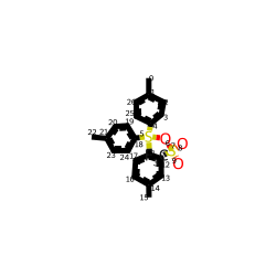 Cc1ccc(S(OS(=O)(=O)C(F)(F)F)(c2ccc(C)cc2)c2ccc(C)cc2)cc1